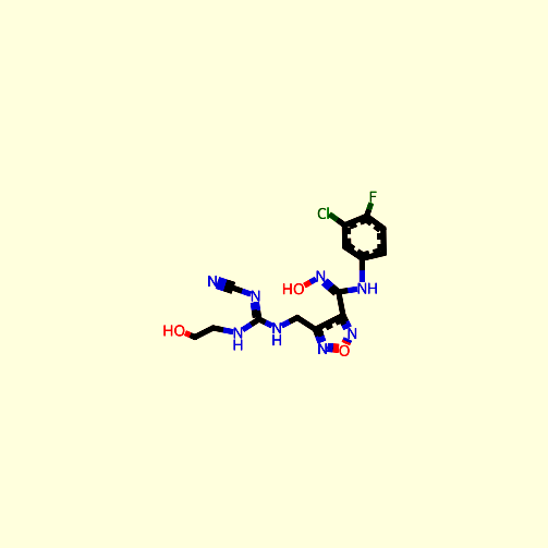 N#CN=C(NCCO)NCc1nonc1C(=NO)Nc1ccc(F)c(Cl)c1